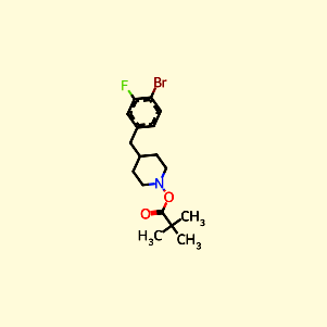 CC(C)(C)C(=O)ON1CCC(Cc2ccc(Br)c(F)c2)CC1